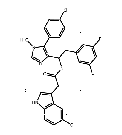 Cn1cnc(C(Cc2cc(F)cc(F)c2)NC(=O)Cc2c[nH]c3ccc(O)cc23)c1-c1ccc(Cl)cc1